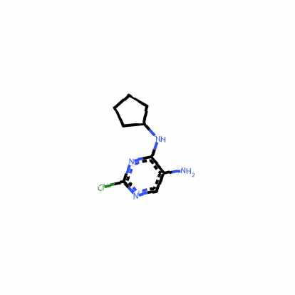 Nc1cnc(Cl)nc1NC1CCCC1